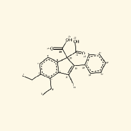 CCc1ccc2c(c1CC)C(I)=C(c1ccccc1)C2(C(=O)O)C(=O)O